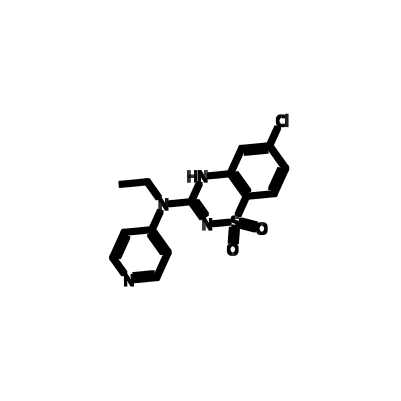 CCN(C1=NS(=O)(=O)c2ccc(Cl)cc2N1)c1ccncc1